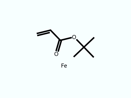 C=CC(=O)OC(C)(C)C.[Fe]